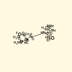 CC[C@@H](NC(=O)[C@@H]1C[C@H](NCCCCCCCCC(=O)NCCn2nc(C#N)c3c2CN(C)C(=O)c2ccc(F)cc2[C@@H](C)Oc2nc-3cnc2N)CN1C(=O)C(NC(=O)[C@H](C)NC)C(C)(C)C)c1ccccc1